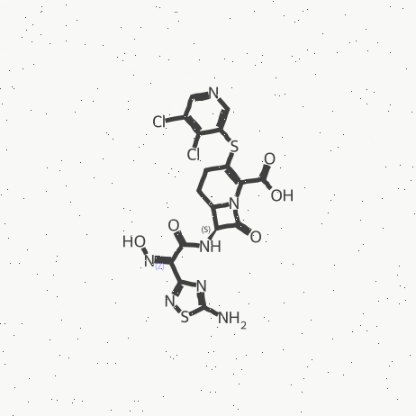 Nc1nc(/C(=N/O)C(=O)N[C@@H]2C(=O)N3C(C(=O)O)=C(Sc4cncc(Cl)c4Cl)CCC23)ns1